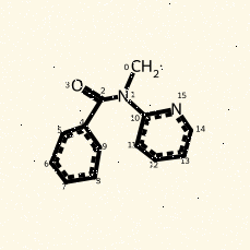 [CH2]N(C(=O)c1ccccc1)c1ccccn1